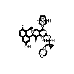 [2H]C([2H])(Oc1nc(N2C[C@H]3CC[C@@H](C2)N3)c2cnc(-c3cc(O)cc4ccc(F)c(C#C)c34)c(F)c2n1)C1(CN2CCOCC2)CC1